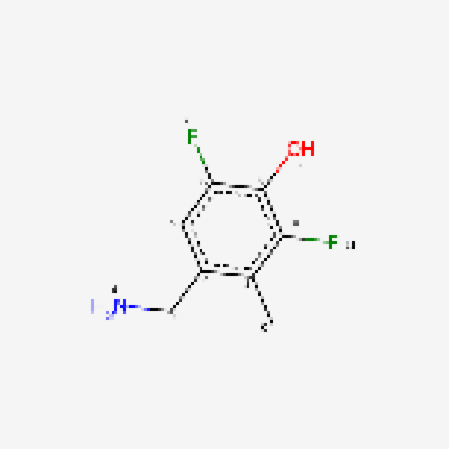 Cc1c(CN)cc(F)c(O)c1F